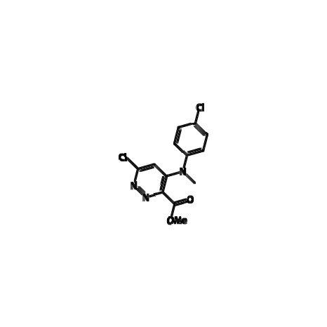 COC(=O)c1nnc(Cl)cc1N(C)c1ccc(Cl)cc1